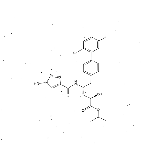 CC(C)OC(=O)[C@H](O)C[C@@H](Cc1ccc(-c2cc(Cl)ccc2Cl)cc1)NC(=O)c1cn(O)nn1